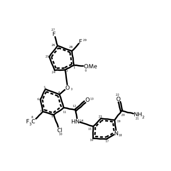 COc1c(Oc2ccc(C(F)(F)F)c(Cl)c2C(=O)Nc2ccnc(C(N)=O)c2)ccc(F)c1F